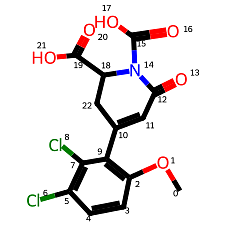 COc1ccc(Cl)c(Cl)c1C1=CC(=O)N(C(=O)O)C(C(=O)O)C1